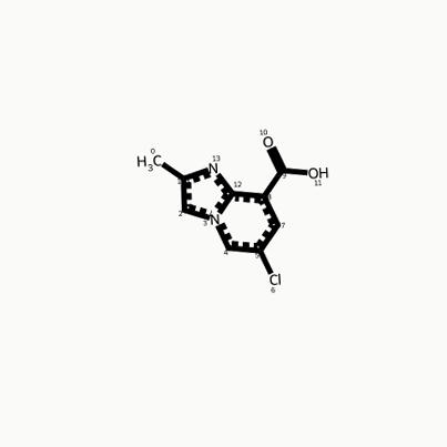 Cc1cn2cc(Cl)cc(C(=O)O)c2n1